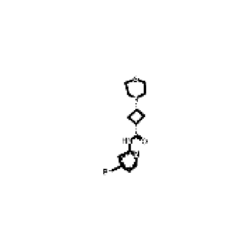 O=C(Nc1cc(Br)ccn1)[C@H]1C[C@@H](N2CCSCC2)C1